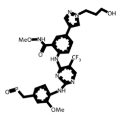 CONC(=O)c1cc(-c2cnn(CCCO)c2)ccc1Nc1nc(Nc2ccc(CP=O)cc2OC)ncc1C(F)(F)F